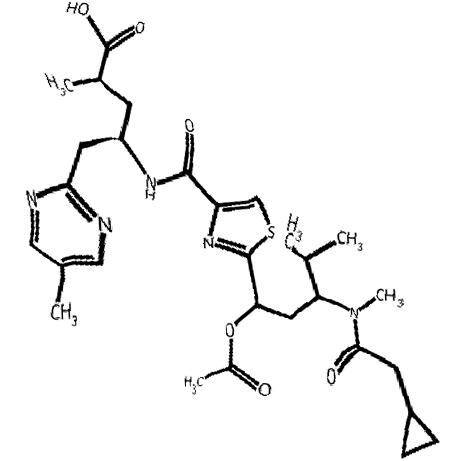 CC(=O)OC(CC(C(C)C)N(C)C(=O)CC1CC1)c1nc(C(=O)N[C@@H](Cc2ncc(C)cn2)CC(C)C(=O)O)cs1